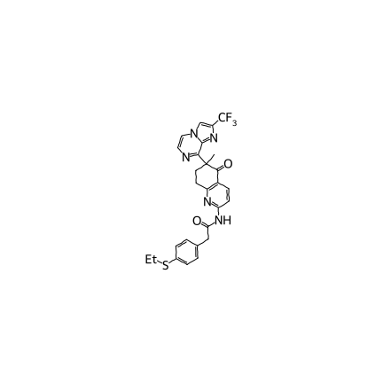 CCSc1ccc(CC(=O)Nc2ccc3c(n2)CCC(C)(c2nccn4cc(C(F)(F)F)nc24)C3=O)cc1